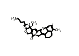 CC[C@@]1(OC(=O)CCCN)C(=O)OCc2c1cc1n(c2=O)Cc2c-1nc1cc(F)c(C)c3c1c2CCC3